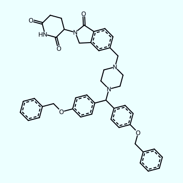 O=C1CCC(N2Cc3cc(CN4CCN(C(c5ccc(OCc6ccccc6)cc5)c5ccc(OCc6ccccc6)cc5)CC4)ccc3C2=O)C(=O)N1